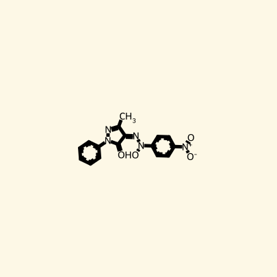 CC1=NN(c2ccccc2)C(=O)C1=NN(O)c1ccc([N+](=O)[O-])cc1